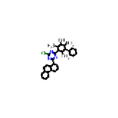 Bc1c(B)c(-c2ccccc2)c(B)c(-c2nc(Cl)nc(-c3cccc4c3ccc3ccccc34)n2)c1B